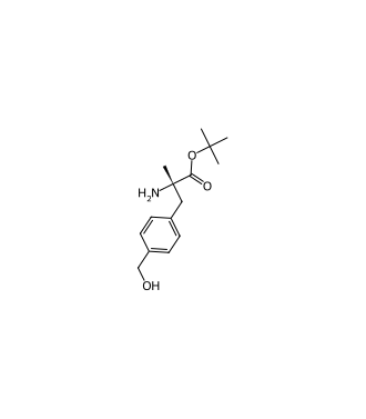 CC(C)(C)OC(=O)[C@@](C)(N)Cc1ccc(CO)cc1